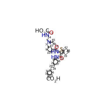 O=C(O)C(=O)NCCN(Cc1cccc(C(=O)Nc2sc3c(c2C(=O)Nc2ccc(CCc4ccc(C(=O)O)cc4)cc2)CCCC3)c1)C1CC1